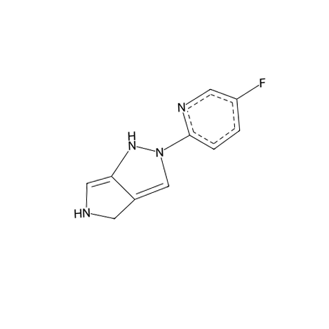 Fc1ccc(N2C=C3CNC=C3N2)nc1